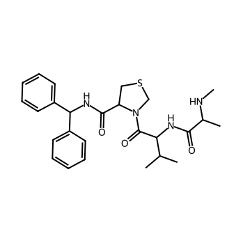 CNC(C)C(=O)NC(C(=O)N1CSCC1C(=O)NC(c1ccccc1)c1ccccc1)C(C)C